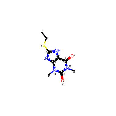 CCSc1nc2c([nH]1)c(=O)n(C)c(=O)n2C